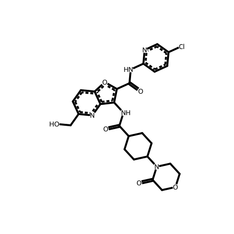 O=C(Nc1ccc(Cl)cn1)c1oc2ccc(CO)nc2c1NC(=O)C1CCC(N2CCOCC2=O)CC1